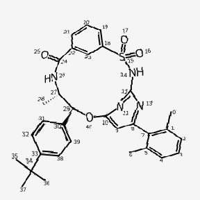 Cc1cccc(C)c1-c1cc2nc(n1)NS(=O)(=O)c1cccc(c1)C(=O)N[C@@H](C)[C@H](c1ccc(C(C)(C)C)cc1)O2